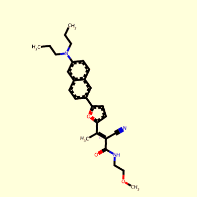 CCCN(CCC)c1ccc2cc(-c3ccc(/C(C)=C(\C#N)C(=O)NCCOC)o3)ccc2c1